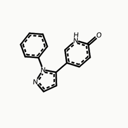 O=c1ccc(-c2ccnn2-c2ccccc2)c[nH]1